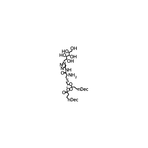 CCCCCCCCCCCCC(=O)OC[C@H](CSC[C@@H](N)C(=O)Nc1cn(C[C@H](O)[C@H](O)[C@H](O)[C@H](O)CO)nn1)OC(=O)CCCCCCCCCCCC